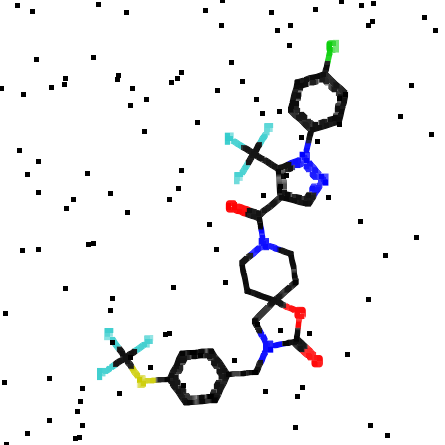 O=C1OC2(CCN(C(=O)c3cnn(-c4ccc(Cl)cc4)c3C(F)(F)F)CC2)CN1Cc1ccc(SC(F)(F)F)cc1